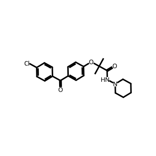 CC(C)(Oc1ccc(C(=O)c2ccc(Cl)cc2)cc1)C(=O)NN1CCCCC1